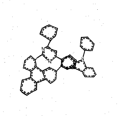 c1ccc(-c2cc(-c3ccccc3)nc(-c3cccc4c5ccccc5c5ccc(-c6ccc7c(c6)c6ccccc6n7-c6ccccc6)cc5c34)n2)cc1